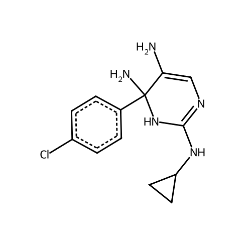 NC1=CN=C(NC2CC2)NC1(N)c1ccc(Cl)cc1